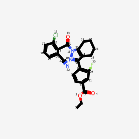 CCOC(=O)c1ccc(-c2nn(C(=O)c3c(Cl)cccc3C#N)c3c2CCCC3)c(F)c1